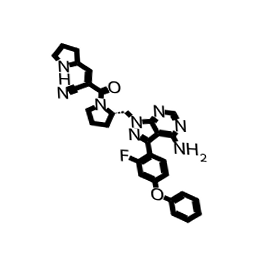 N#CC(=CC1CCCN1)C(=O)N1CCC[C@H]1Cn1nc(-c2ccc(Oc3ccccc3)cc2F)c2c(N)ncnc21